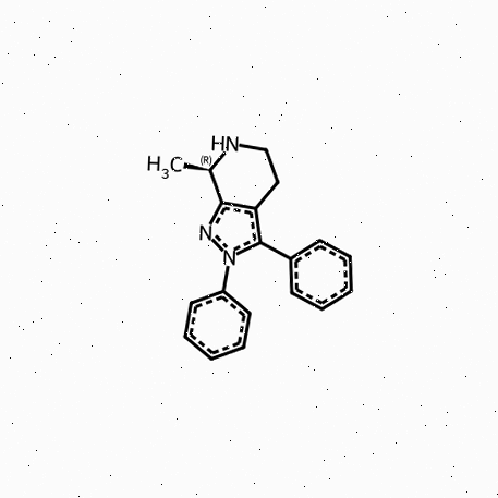 C[C@H]1NCCc2c1nn(-c1ccccc1)c2-c1ccccc1